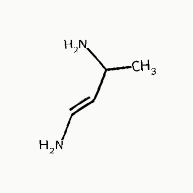 CC(N)/C=C/N